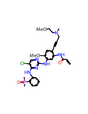 C=CC(=O)Nc1cc(Nc2ncc(Cl)c(Nc3ccccc3P(C)(C)=O)n2)c(OC)cc1C#CCN(C)CCOC